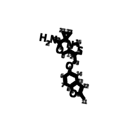 CC1=C(COc2ccc3oc(C)cc3c2)SCN1C1(C(N)=O)CC1